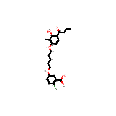 CCCC(=O)c1ccc(OCCCCCOc2ccc(Cl)c(C(=O)O)c2)c(C)c1O